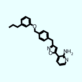 CCCc1cccc(OCc2ccc(Cc3cc(-c4cccnc4N)on3)cc2)c1